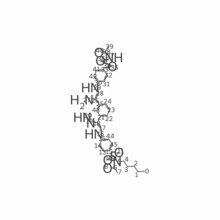 CCCCCN(C(C)=O)S(=O)(=O)c1ccc(N/C=C(\N=N)c2cccc(/C(N)=C/Nc3ccc(S(=O)(=O)NC(C)=O)cc3)c2)cc1